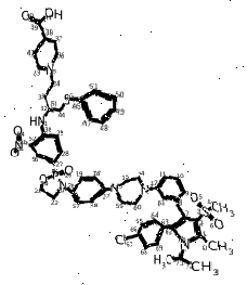 Cc1c(S(C)(=O)=O)c(-c2cccc(N3CCN(c4ccc(N5CCO[P@]5(=O)c5ccc(N[C@@H](CCN6CCC(C(=O)O)CC6)CSc6ccccc6)c([N+](=O)[O-])c5)cc4)CC3)c2)c(-c2ccc(Cl)cc2)n1C(C)C